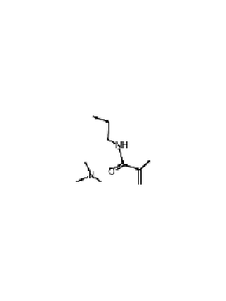 C=C(C)C(=O)NCCC.CN(C)C